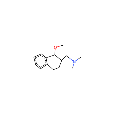 COC1c2ccccc2CCC1CN(C)C